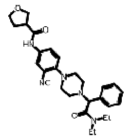 [C-]#[N+]c1cc(NC(=O)C2CCOC2)ccc1N1CCN(C(C(=O)N(CC)CC)c2ccccc2)CC1